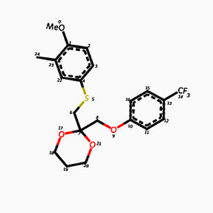 COc1ccc(SCC2(COc3ccc(C(F)(F)F)cc3)OCCCO2)cc1C